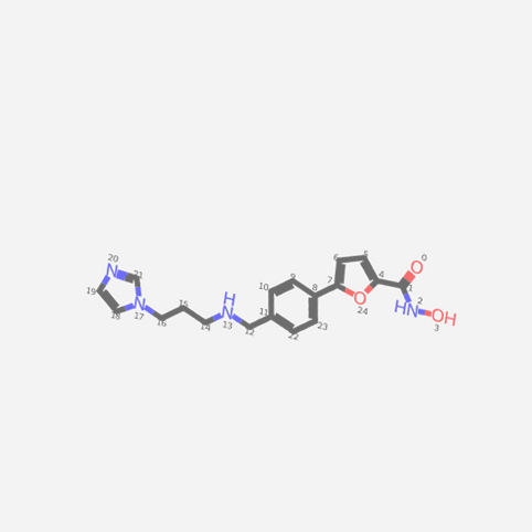 O=C(NO)c1ccc(-c2ccc(CNCCCn3ccnc3)cc2)o1